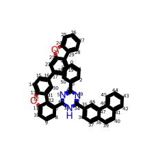 c1ccc(C2=NC(c3cccc4oc5ccc(-c6ccc7c(c6)oc6ccccc67)cc5c34)NC(c3ccc4ccc5ccccc5c4c3)=N2)cc1